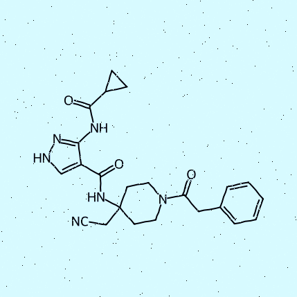 N#CCC1(NC(=O)c2c[nH]nc2NC(=O)C2CC2)CCN(C(=O)Cc2ccccc2)CC1